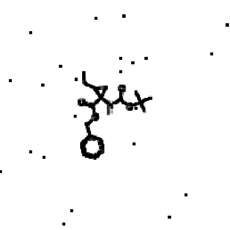 CCC1CC1(NC(=O)OC(C)(C)C)C(=O)OCc1ccccc1